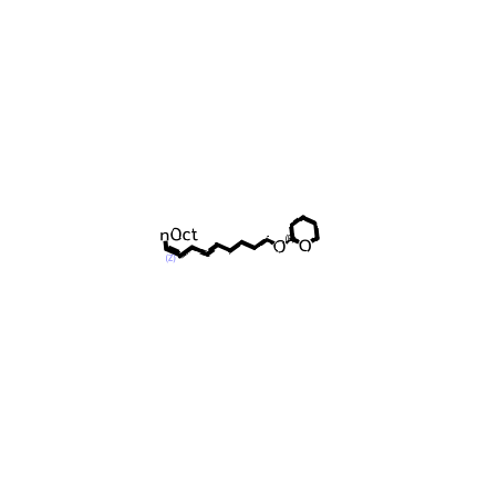 CCCCCCCC/C=C\CCCCCC[CH]O[C@H]1CCCCO1